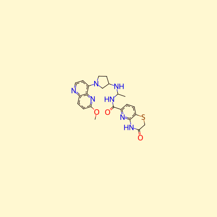 COc1ccc2nccc(N3CCC(NC(C)NC(=O)c4ccc5c(n4)NC(=O)CS5)C3)c2n1